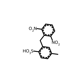 Cc1ccc(S(=O)(=O)O)c(Cc2c([N+](=O)[O-])cccc2[N+](=O)[O-])c1